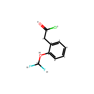 O=C(Cl)Cc1ccccc1OC(F)F